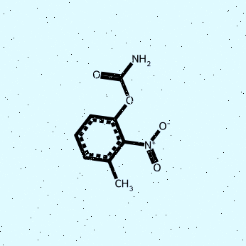 Cc1cccc(OC(N)=O)c1[N+](=O)[O-]